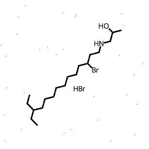 Br.CCC(CC)CCCCCCCCC(Br)CCNCC(C)O